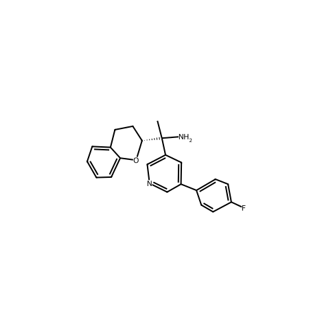 CC(N)(c1cncc(-c2ccc(F)cc2)c1)[C@H]1CCc2ccccc2O1